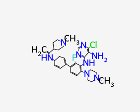 C=C(NC1C=CC(c2ccc(N3CCN(C)CC3)c(Nc3ncnc(Cl)c3N)c2F)=CC1)C1CCN(C)CC1